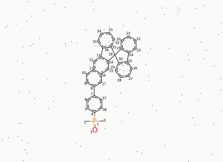 CP(C)(=O)c1ccc(-c2ccc3cc4c(cc3c2)C2(c3ccccc3-c3ccccc32)c2ccccc2-4)cc1